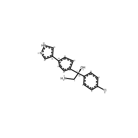 NC[C@@](O)(c1ccc(Cl)cc1)c1ccc(-c2cn[nH]c2)cc1